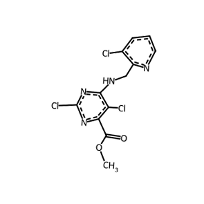 COC(=O)c1nc(Cl)nc(NCc2ncccc2Cl)c1Cl